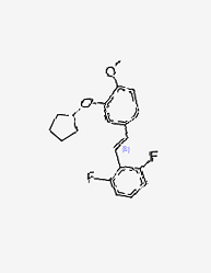 COc1ccc(/C=C/c2c(F)cccc2F)cc1OC1CCCC1